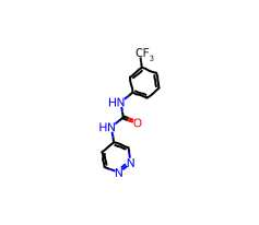 O=C(Nc1ccnnc1)Nc1cccc(C(F)(F)F)c1